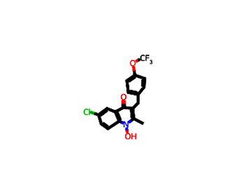 Cc1c(Cc2ccc(OC(F)(F)F)cc2)c(=O)c2cc(Cl)ccc2n1O